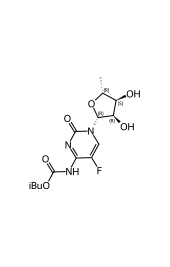 CC(C)COC(=O)Nc1nc(=O)n([C@@H]2O[C@H](C)[C@@H](O)[C@H]2O)cc1F